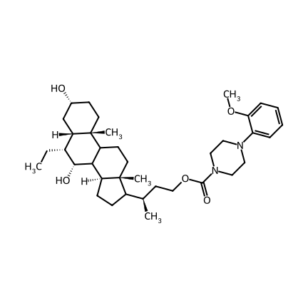 CC[C@H]1[C@@H](O)C2C(CC[C@]3(C)C([C@H](C)CCOC(=O)N4CCN(c5ccccc5OC)CC4)CC[C@@H]23)[C@@]2(C)CC[C@@H](O)C[C@@H]12